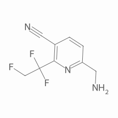 N#Cc1ccc(CN)nc1C(F)(F)CF